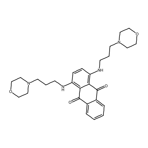 O=C1c2ccccc2C(=O)c2c(NCCCN3CCOCC3)ccc(NCCCN3CCOCC3)c21